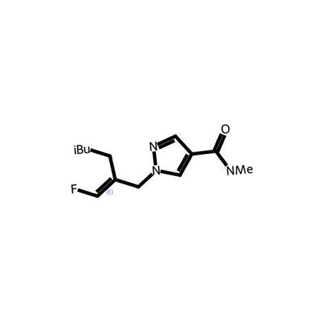 CCC(C)C/C(=C\F)Cn1cc(C(=O)NC)cn1